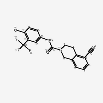 N#Cc1cccc2c1CCN(C(=O)Nc1ccc(Cl)c(C(F)(F)F)c1)C2